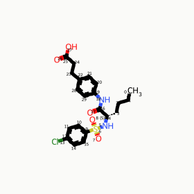 CCCC[C@H](NS(=O)(=O)c1ccc(Cl)cc1)C(=O)Nc1ccc(CCC(=O)O)cc1